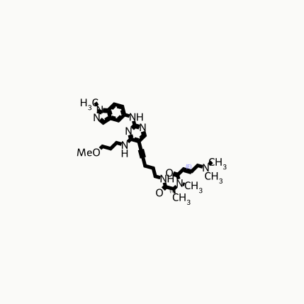 COCCCNc1nc(Nc2ccc3c(cnn3C)c2)ncc1C#CCCCNC(=O)[C@H](C)N(C)C(=O)/C=C/CN(C)C